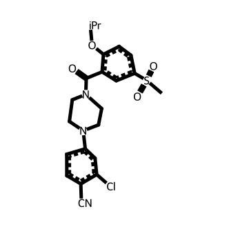 CC(C)Oc1ccc(S(C)(=O)=O)cc1C(=O)N1CCN(c2ccc(C#N)c(Cl)c2)CC1